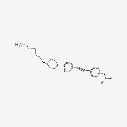 CCCCCCC[C@H]1CC[C@H](c2ccc(C#Cc3ccc(SC(F)F)cc3)cc2)CC1